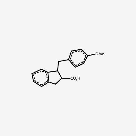 COc1ccc(CC2c3ccccc3CC2C(=O)O)cc1